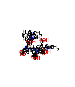 CC1(CCCCCC(=O)O)C(/C=C/C=C/C=C2/N(CCCS(=O)(=O)O)c3ccc(S(=O)(=O)[O-])cc3C2(C)C)=[N+](CCCS(=O)(=O)O)c2ccc(S(=O)(=O)O)cc21.CCN(CC)CC.CCN(CC)CC.CCN(CC)CC